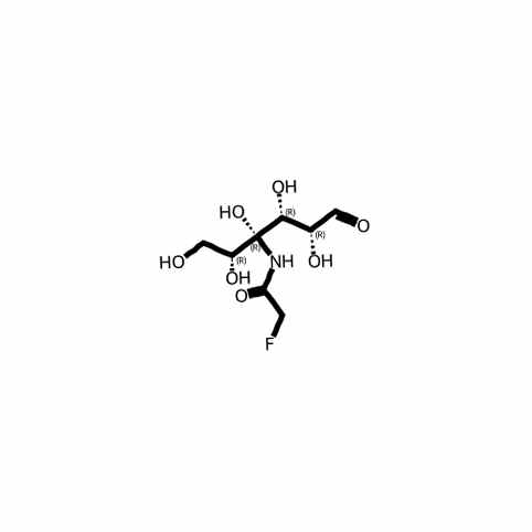 O=C[C@H](O)[C@@H](O)[C@@](O)(NC(=O)CF)[C@H](O)CO